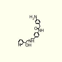 Nc1ccc(CC(=O)Nc2ccc(CCNC[C@H](O)c3cccnc3)cc2)cc1